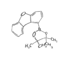 CC1(C)OB(c2cccc3oc4ccccc4c23)OC1(C)C